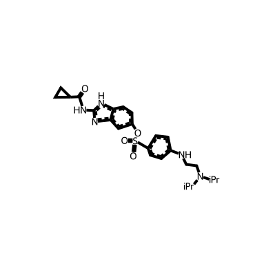 CC(C)N(CCNc1ccc(S(=O)(=O)Oc2ccc3[nH]c(NC(=O)C4CC4)nc3c2)cc1)C(C)C